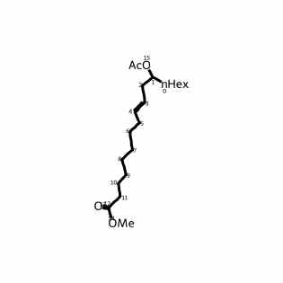 CCCCCCC(C/C=C/CCCCCCCC(=O)OC)OC(C)=O